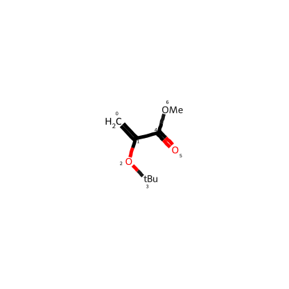 C=C(OC(C)(C)C)C(=O)OC